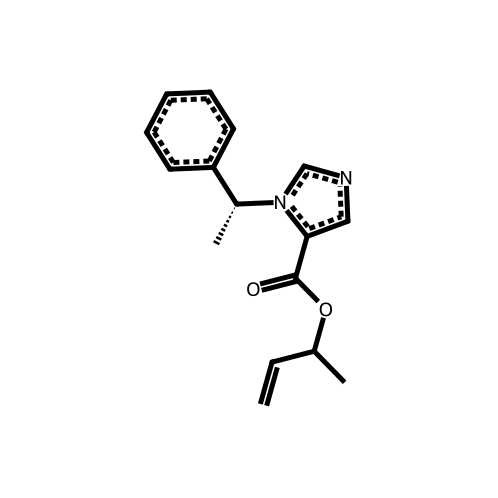 C=CC(C)OC(=O)c1cncn1[C@H](C)c1ccccc1